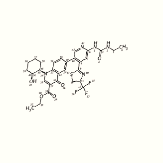 CCNC(=O)Nc1cc(C2=NC(C(F)(F)F)CS2)c(-c2ccc3c(c2)c(=O)c(C(=O)OCC)cn3[C@@H]2CCCC[C@@H]2O)cn1